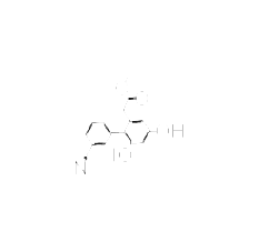 COC(=O)Cc1cc(O)cc(O)c1-c1cccc(C#N)c1